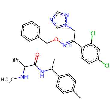 Cc1ccc(C(C)NC(=O)C(NC(=O)O)C(C)C)cc1.Clc1ccc(/C(Cn2cncn2)=N/OCc2ccccc2)c(Cl)c1